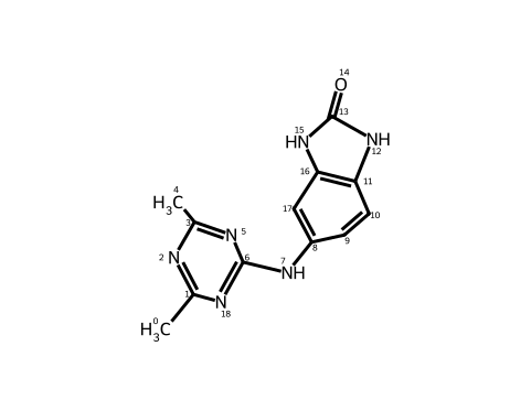 Cc1nc(C)nc(Nc2ccc3[nH]c(=O)[nH]c3c2)n1